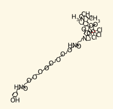 CC1=CC(C)(C)N2CCCc3c4c(cc1c32)C1(OC(=O)c2c(Cl)c(Cl)c(Cl)c(Cl)c21)c1cc2c(cc1O4)N(CCCC(=O)NCCOCCOCCOCCOCCOCCOCCOCCOCCC(=O)NCCc1ccc(O)cc1)CCC2